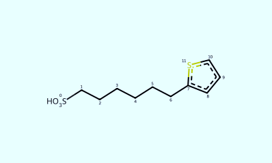 O=S(=O)(O)CCCCCCc1cccs1